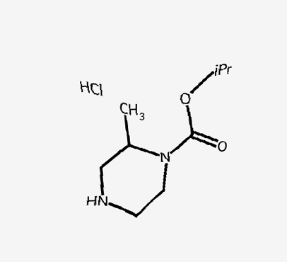 CC(C)OC(=O)N1CCNCC1C.Cl